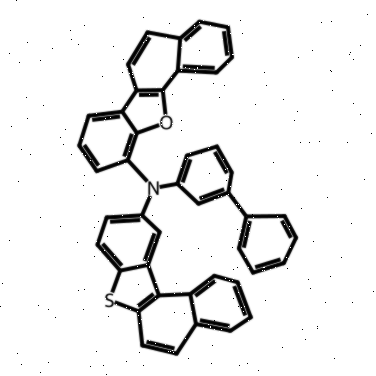 c1ccc(-c2cccc(N(c3ccc4sc5ccc6ccccc6c5c4c3)c3cccc4c3oc3c5ccccc5ccc43)c2)cc1